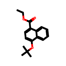 CCOC(=O)c1ccc(OC(C)(C)C)c2ccccc12